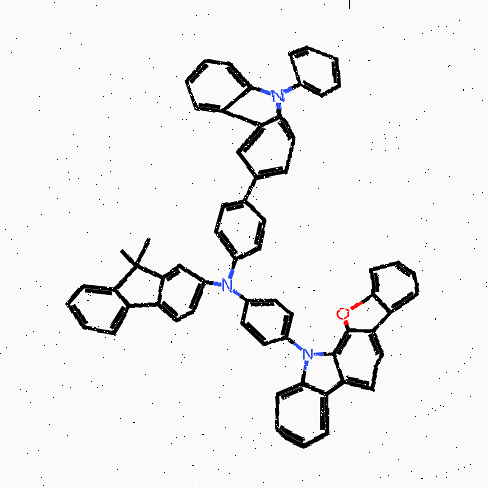 CC1(C)c2ccccc2-c2ccc(N(c3ccc(-c4ccc5c(c4)c4ccccc4n5-c4ccccc4)cc3)c3ccc(-n4c5ccccc5c5ccc6c7ccccc7oc6c54)cc3)cc21